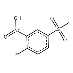 CS(=O)(=O)c1ccc(F)c([N+](=O)O)c1